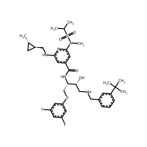 CC(C)S(=O)(=O)N(C)c1cc(C(=O)N[C@@H](COc2cc(F)cc(F)c2)[C@H](O)CNCc2cccc(C(C)(C)C)c2)cc(NC[C@H]2C[C@@H]2C)n1